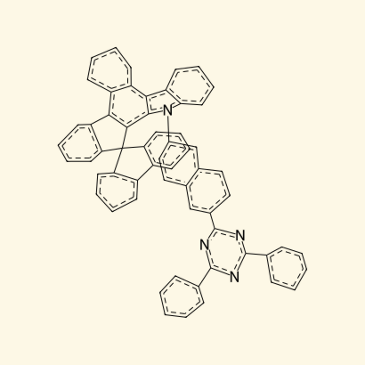 c1ccc(-c2nc(-c3ccccc3)nc(-c3ccc4cc(-n5c6ccccc6c6c7ccccc7c7c(c65)C5(c6ccccc6-c6ccccc65)c5ccccc5-7)ccc4c3)n2)cc1